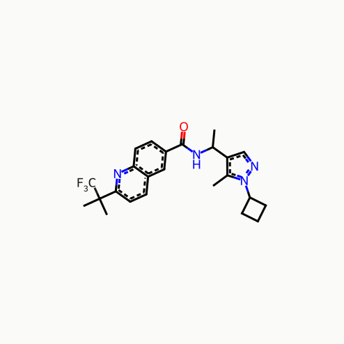 Cc1c(C(C)NC(=O)c2ccc3nc(C(C)(C)C(F)(F)F)ccc3c2)cnn1C1CCC1